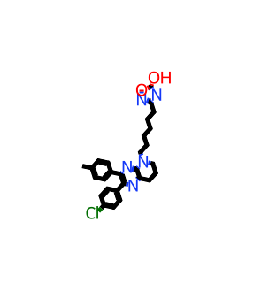 Cc1ccc(-c2nc3c(nc2-c2ccc(Cl)cc2)CCCN3CCCCCCc2noc(O)n2)cc1